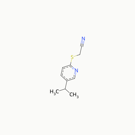 CC(C)c1ccc(SCC#N)nc1